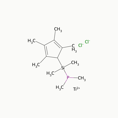 CC1=C(C)C([Si](C)(C)P(C)C)C(C)=C1C.[Cl-].[Cl-].[Ti+2]